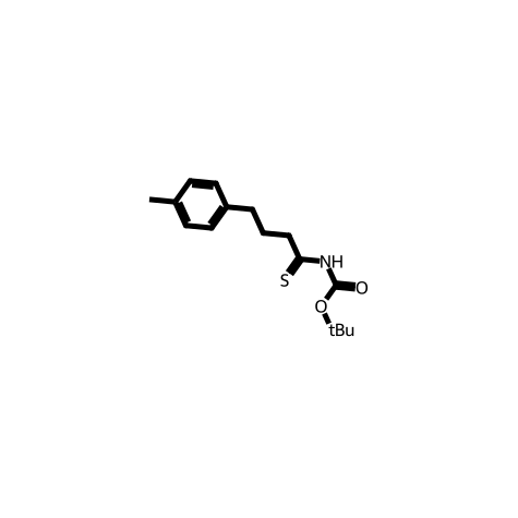 Cc1ccc(CCCC(=S)NC(=O)OC(C)(C)C)cc1